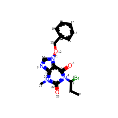 CCC(Br)n1c(=O)c2c(ncn2OCc2ccccc2)n(C)c1=O